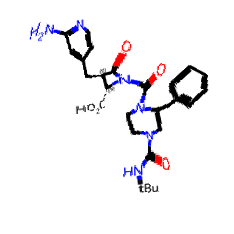 CC(C)(C)NC(=O)N1CCN(C(=O)N2C(=O)[C@H](Cc3ccnc(N)c3)[C@H]2C(=O)O)C(c2ccccc2)C1